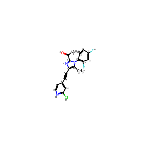 COC(=O)c1nc(C#Cc2ccnc(Cl)c2)c(C)n1-c1ccc(F)cc1F